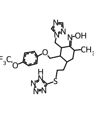 CC1CC(CCSc2nnn[nH]2)C(COc2ccc(OC(F)(F)F)cc2)C(Cn2cncn2)C1=NO